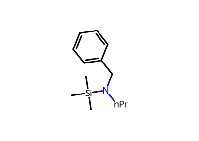 CCCN(Cc1ccccc1)[Si](C)(C)C